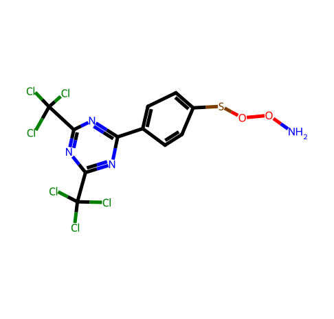 NOOSc1ccc(-c2nc(C(Cl)(Cl)Cl)nc(C(Cl)(Cl)Cl)n2)cc1